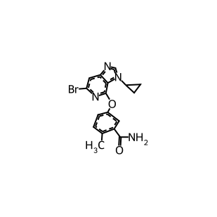 Cc1ccc(Oc2nc(Br)cc3ncn(C4CC4)c23)cc1C(N)=O